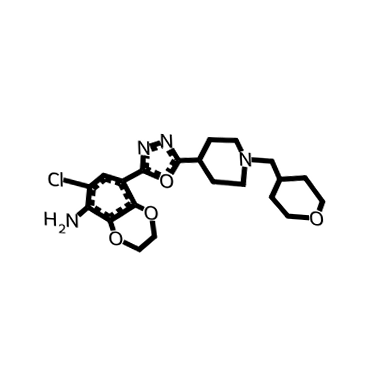 Nc1c(Cl)cc(-c2nnc(C3CCN(CC4CCOCC4)CC3)o2)c2c1OCCO2